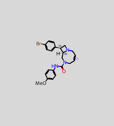 COc1ccc(NC(=O)N2C/C=C\CN3C[C@H](c4ccc(Br)cc4)[C@@H]3C2)cc1